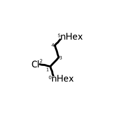 [CH2]CCCCCC(Cl)CCCCCCCC